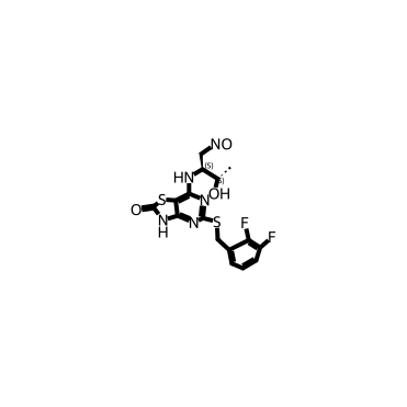 C[C@H](O)[C@H](CN=O)Nc1nc(SCc2cccc(F)c2F)nc2[nH]c(=O)sc12